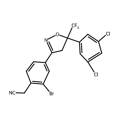 N#CCc1ccc(C2=NOC(c3cc(Cl)cc(Cl)c3)(C(F)(F)F)C2)cc1Br